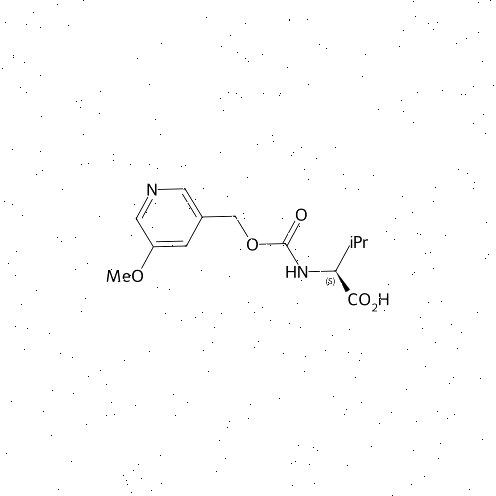 COc1cncc(COC(=O)N[C@H](C(=O)O)C(C)C)c1